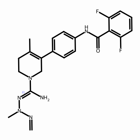 C=NN(C)/N=C(\N)N1CCC(C)=C(c2ccc(NC(=O)c3c(F)cccc3F)cc2)C1